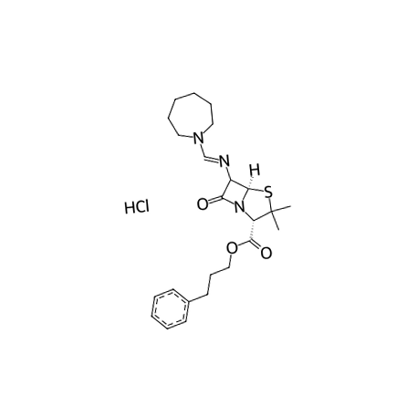 CC1(C)S[C@@H]2C(/N=C/N3CCCCCC3)C(=O)N2[C@H]1C(=O)OCCCc1ccccc1.Cl